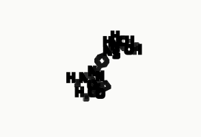 C[C@H](CO)NC(=S)Nc1ccc(-c2nc(N)cc(C3(S(C)(=O)=O)CCC3)n2)cc1